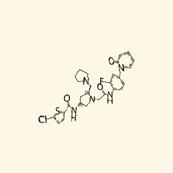 O=C(CN1C[C@H](NC(=O)c2ccc(Cl)s2)C[C@H]1CN1CCCC1)Nc1ccc(-n2ccccc2=O)cc1F